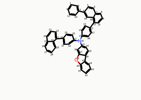 c1ccc(-c2ccc3cccc(-c4ccc(N(c5ccc(-c6cccc7ccccc67)cc5)c5ccc6c(c5)oc5ccccc56)cc4)c3c2)cc1